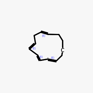 [C]1=C/CCCC/C=C/C/C=C/C=C/1